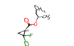 CCC(C)OC(=O)[C@@H]1CC1(F)Cl